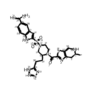 CC1Cc2nc(C(=O)N3CCN(S(=O)(=O)c4cc5cc(C(=N)N)ccc5[nH]4)CC3CCc3nnn[nH]3)sc2CN1